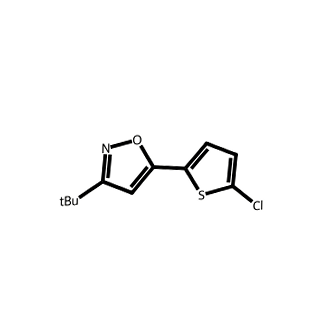 CC(C)(C)c1cc(-c2ccc(Cl)s2)on1